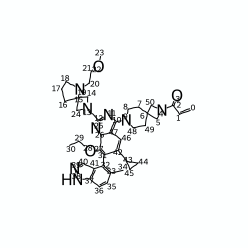 C=CC(=O)N1CC2(CCN(c3nc(N4CC5(CCCN5CCOC)C4)nc4c(OCC)c(-c5c(C)ccc6[nH]ncc56)c(C5CC5)cc34)CC2)C1